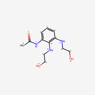 CCCC(=O)Nc1cccc(NCCO)c1NCCO